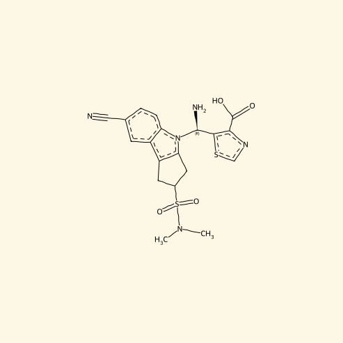 CN(C)S(=O)(=O)C1Cc2c(n([C@@H](N)c3scnc3C(=O)O)c3ccc(C#N)cc23)C1